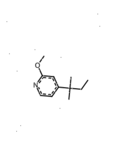 CCC(C)(C)c1ccnc(OC)c1